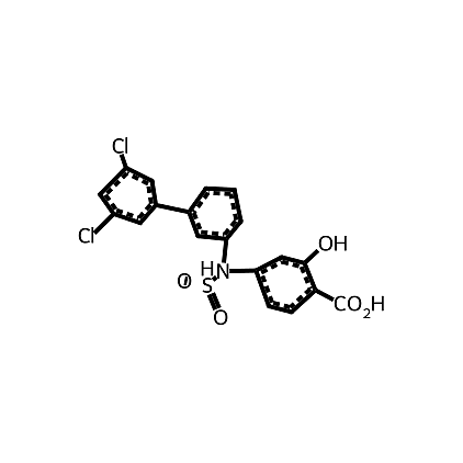 O=C(O)c1ccc(N(c2cccc(-c3cc(Cl)cc(Cl)c3)c2)[SH](=O)=O)cc1O